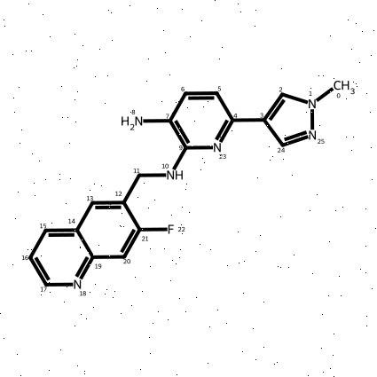 Cn1cc(-c2ccc(N)c(NCc3cc4cccnc4cc3F)n2)cn1